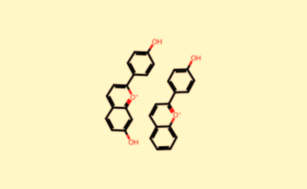 Oc1ccc(-c2ccc3ccc(O)cc3[o+]2)cc1.Oc1ccc(-c2ccc3ccccc3[o+]2)cc1